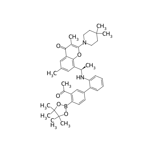 CC(=O)c1cc(-c2ccccc2N[C@H](C)c2cc(C)cc3c(=O)c(C)c(N4CCC(C)(C)CC4)oc23)ccc1B1OC(C)(C)C(C)(C)O1